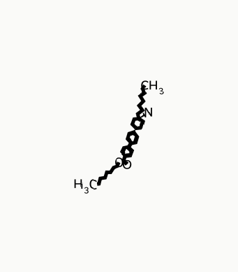 CCCCCCCCOC(=O)c1ccc(-c2ccc([C@H]3CC[C@@](C#N)(CCCCCCCC)CC3)cc2)cc1